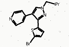 CC(C)Cn1cc(-c2ccncc2)c(-c2ccc(Br)s2)n1